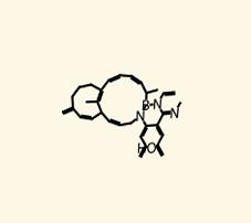 C=C\C=C1C(=C\C(=C)O)/C(=N/C)N(C=C)B2C(C)\C=C/C=C\C3=C(\C)C(/C=C\CN2/1)/C=C\C(=C)CCC3